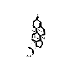 CC(=O)O/C=C(\C)[C@H]1CC[C@H]2[C@@H]3CCC4=CC(=O)CC[C@]4(C)[C@H]3CC[C@]12C